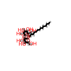 CCCCCCCCCCCCCCO[C@@H]1O[C@H](CO)[C@@H](O)[C@H](O)[C@H]1O[C@@H]1O[C@H](CO)[C@@H](O)[C@H](O)[C@H]1O